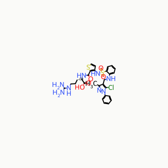 Cc1nn(-c2ccccc2)c(Cl)c1CNc1ccccc1S(=O)(=O)Nc1ccsc1C(=O)N[C@@H](CCCNC(N)N)C(=O)O